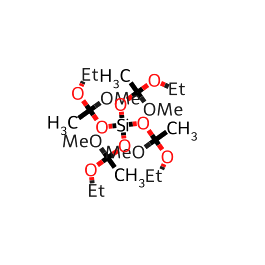 CCOC(C)(OC)O[Si](OC(C)(OC)OCC)(OC(C)(OC)OCC)OC(C)(OC)OCC